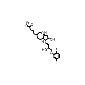 CC(C)OC(=O)CCCC1CC[C@@H]2[C@@H](C=C[C@@H](O)COc3cc(F)ccc3F)[C@H](O)C[C@H]2OC1